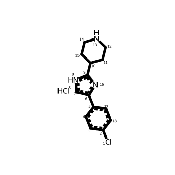 Cl.Clc1ccc(-c2c[nH]c(C3CCNCC3)n2)cc1